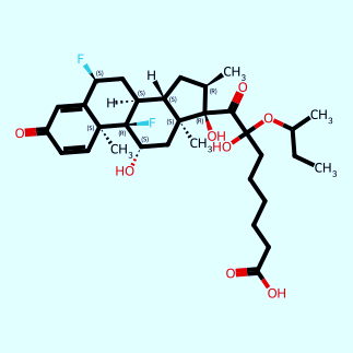 CCC(C)OC(O)(CCCCCC(=O)O)C(=O)[C@@]1(O)[C@H](C)C[C@H]2[C@@H]3C[C@H](F)C4=CC(=O)C=C[C@]4(C)[C@@]3(F)[C@@H](O)C[C@@]21C